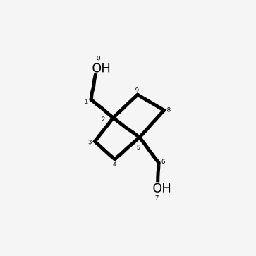 OCC12CCC1(CO)CC2